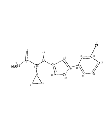 CNC(=S)N(C1CC1)C(C)c1cc(-c2cccc(Cl)c2)on1